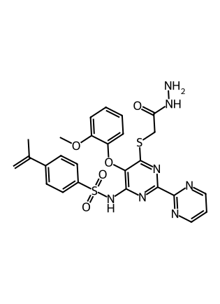 C=C(C)c1ccc(S(=O)(=O)Nc2nc(-c3ncccn3)nc(SCC(=O)NN)c2Oc2ccccc2OC)cc1